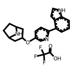 O=C(O)C(F)(F)F.c1cc(-c2ccc(OC3CC4CCC(C3)N4)cn2)c2cc[nH]c2c1